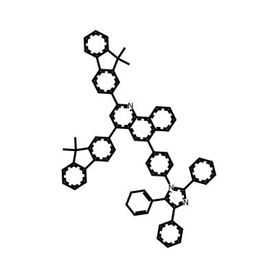 CC1(C)c2ccccc2-c2ccc(-c3cc(-c4ccc5c(c4)C(C)(C)c4ccccc4-5)c4cc(-c5ccc(-n6c(-c7ccccc7)nc(-c7ccccc7)c6C6=CCCC=C6)cc5)c5ccccc5c4n3)cc21